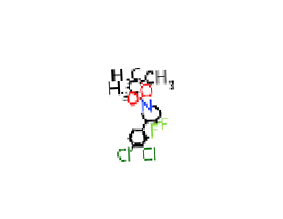 CC(C)(C)OC(=O)N1CCC(F)(F)C(c2ccc(Cl)c(Cl)c2)C1